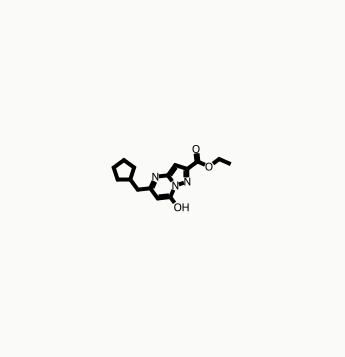 CCOC(=O)c1cc2nc(CC3CCCC3)cc(O)n2n1